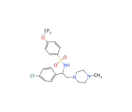 CN1CCN(CC(NS(=O)(=O)c2ccc(OC(F)(F)F)cc2)c2ccc(Cl)cc2)CC1